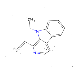 C=Cc1nccc2c3ccccc3n(CC)c12